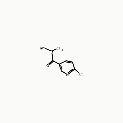 CCCN(C)C(=O)c1ccc(CC)nn1